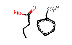 CCCC(=O)O.O=S(=O)(O)c1ccccc1